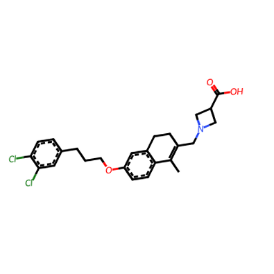 CC1=C(CN2CC(C(=O)O)C2)CCc2cc(OCCCc3ccc(Cl)c(Cl)c3)ccc21